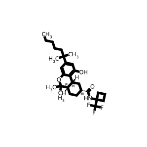 CCCCCC(C)(C)c1cc(O)c2c(c1)OC(C)(C)[C@@H]1CC[C@@H](C(=O)NC3(C(F)(F)F)CCC3)C[C@@H]21